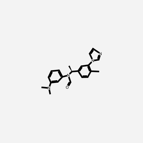 Cc1ccc([C@H](C)N(C=O)c2cccc(N(C)C)c2)cc1-n1ccnc1